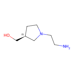 NCCN1CC[C@H](CO)C1